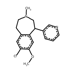 COc1cc2c(cc1Cl)CCN(C)CC2c1cccnc1